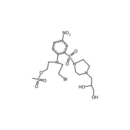 CS(=O)(=O)OCCN(CCBr)c1ccc([N+](=O)[O-])cc1S(=O)(=O)N1CCN(CC(O)CO)CC1